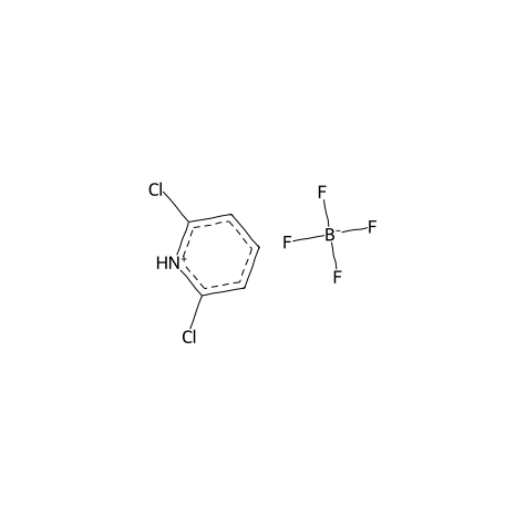 Clc1cccc(Cl)[nH+]1.F[B-](F)(F)F